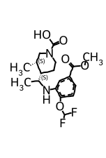 COC(=O)c1ccc(OC(F)F)c(NC(C)[C@H]2CCN(C(=O)O)C[C@H]2C)c1